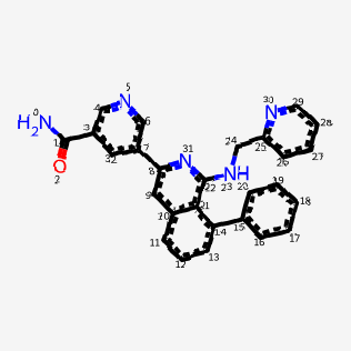 NC(=O)c1cncc(-c2cc3cccc(-c4ccccc4)c3c(NCc3ccccn3)n2)c1